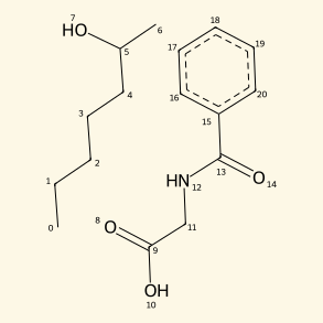 CCCCCC(C)O.O=C(O)CNC(=O)c1ccccc1